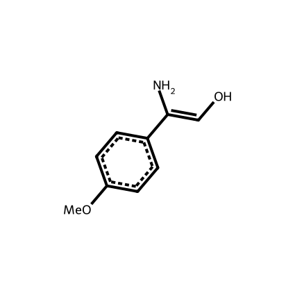 COc1ccc(C(N)=CO)cc1